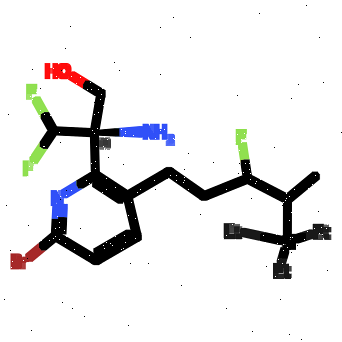 CC[Si](CC)(CC)C(C)C(F)CCc1ccc(Br)nc1[C@@](N)(CO)C(F)F